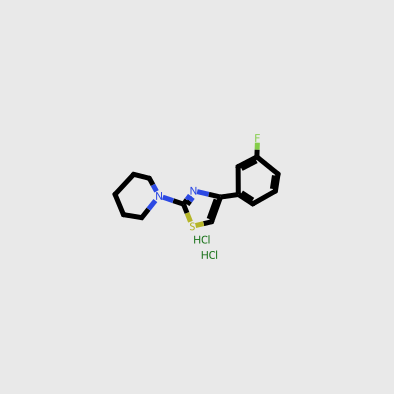 Cl.Cl.Fc1cccc(-c2csc(N3CCCCC3)n2)c1